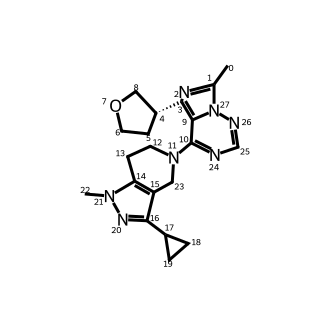 Cc1nc([C@@H]2CCOC2)c2c(N3CCc4c(c(C5CC5)nn4C)C3)ncnn12